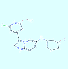 COc1cc(-c2cnc3ccc(NC4CCCC(O)C4)cn23)cc(Cl)n1